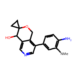 CNc1cc(-c2cncc3c2COC2(CC2)C3O)ccc1N